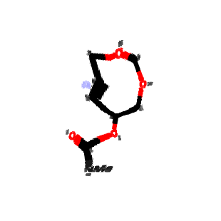 CNC(=O)OC1/C=C/COCOC1